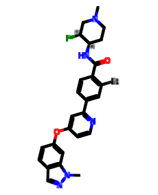 CCc1cc(-c2cc(Oc3ccc4cnn(C)c4c3)ccn2)ccc1C(=O)N[C@@H]1CCN(C)C[C@@H]1F